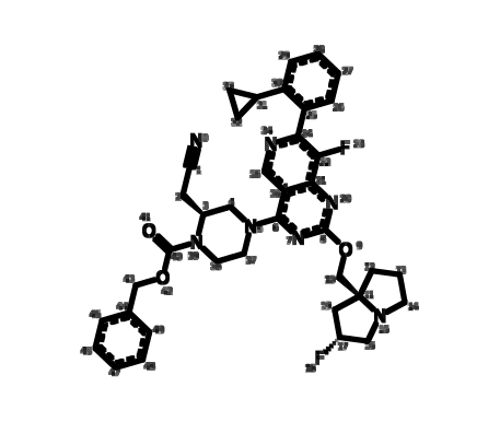 N#CC[C@H]1CN(c2nc(OC[C@@]34CCCN3C[C@H](F)C4)nc3c(F)c(-c4ccccc4C4CC4)ncc23)CCN1C(=O)OCc1ccccc1